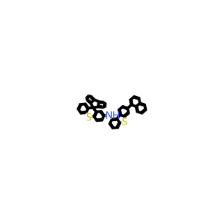 c1ccc2c(c1)Sc1ccc(Nc3cccc4sc5cc(-c6cccc7ccccc67)ccc5c34)cc1C21c2ccccc2-c2ccccc21